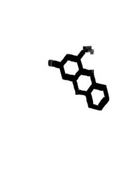 Nc1cc(=O)cc2sc3ccccc3nc1-2